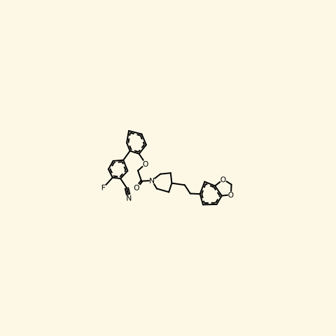 N#Cc1cc(-c2ccccc2OCC(=O)N2CCC(CCc3ccc4c(c3)OCO4)CC2)ccc1F